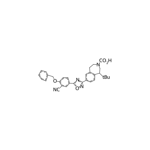 CC(C)(C)C1CN(C(=O)O)CCc2cc(-c3noc(-c4ccc(OCc5ccccc5)c(C#N)c4)n3)ccc21